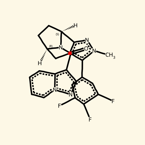 Cn1nc2c(c1-c1cc(F)c(F)c(F)c1)C[C@H]1CC[C@@H]2N1C(=O)c1cnn2ccccc12